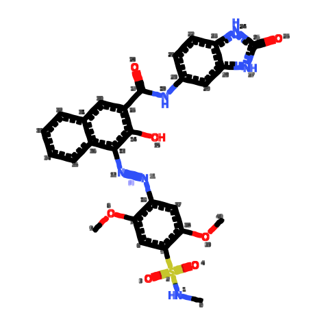 CNS(=O)(=O)c1cc(OC)c(/N=N/c2c(O)c(C(=O)Nc3ccc4[nH]c(=O)[nH]c4c3)cc3ccccc23)cc1OC